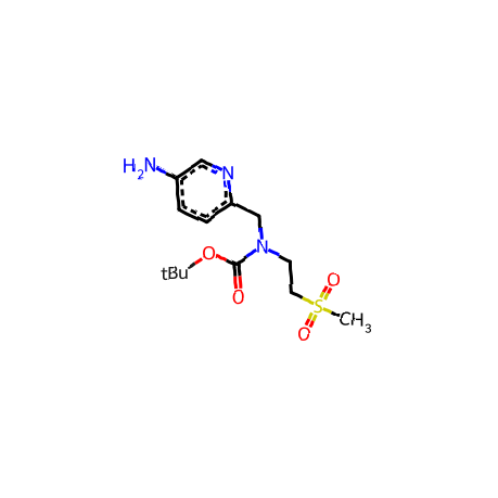 CC(C)(C)OC(=O)N(CCS(C)(=O)=O)Cc1ccc(N)cn1